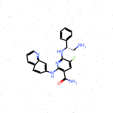 NC[C@H](Nc1nc(Nc2ccc3cccnc3c2)c(C(N)=O)cc1F)c1ccccc1